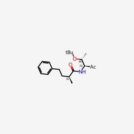 CC(=O)[C@@H](NC(=O)[C@@H](C)CCc1ccccc1)[C@@H](C)OC(C)(C)C